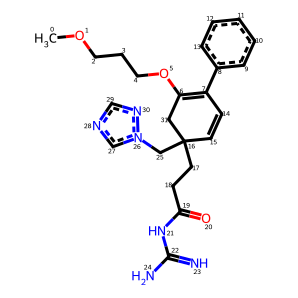 COCCCOC1=C(c2ccccc2)C=CC(CCC(=O)NC(=N)N)(Cn2cncn2)C1